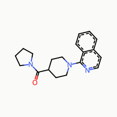 O=C(C1CCN(c2nccc3ccccc23)CC1)N1CCCC1